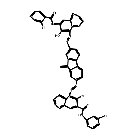 Cc1cccc(NC(=O)c2cc3ccccc3c(N=Nc3ccc4c(c3)C(=O)c3cc(N=Nc5c(O)c(NC(=O)c6ccccc6Cl)cc6ccccc56)ccc3-4)c2O)c1